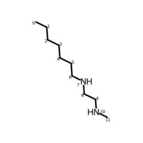 CCCCCCCNCCNC